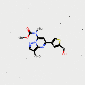 CCCCN(C(=O)OC(C)(C)C)c1cc(-c2csc(CO)c2)nc2c(C=O)cnn12